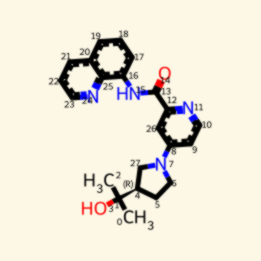 CC(C)(O)[C@@H]1CCN(c2ccnc(C(=O)Nc3cccc4cccnc34)c2)C1